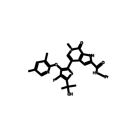 Cc1cnc(Oc2c(-c3cn(C)c(=O)c4[nH]c(C(=O)NC(C)C)cc34)sc(C(C)(C)O)c2F)c(C)c1